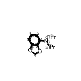 CCCN(c1cccc2c1OCO2)C(C)C